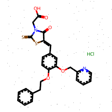 Cl.O=C(O)CN1C(=O)/C(=C/c2ccc(OCCc3ccccc3)c(OCc3ccccn3)c2)SC1=S